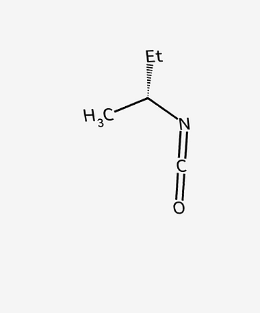 CC[C@@H](C)N=C=O